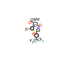 COC(=O)C1CCC(C(=O)N2CCC(c3ccc(C(F)(C(F)(F)F)C(F)(F)F)cc3)([S+]([O-])c3cccc(Br)c3)C2)CC1